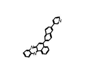 c1cncc(-c2ccc3cc(-c4cc5nc6ccccc6nc5c5ccccc45)ccc3c2)c1